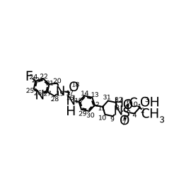 CC(C)(O)CS(=O)(=O)N1CCC(c2ccc(NC(=O)N3Cc4cc(F)cnc4C3)cc2)CC1